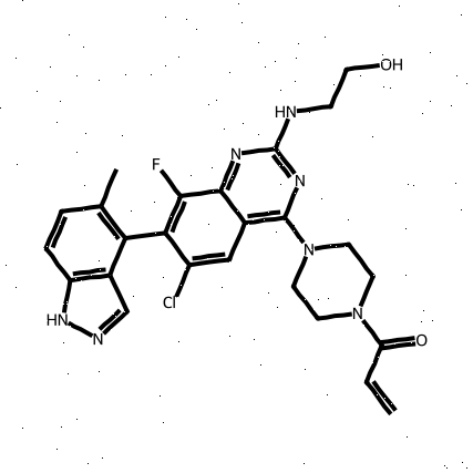 C=CC(=O)N1CCN(c2nc(NCCO)nc3c(F)c(-c4c(C)ccc5[nH]ncc45)c(Cl)cc23)CC1